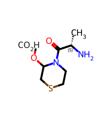 C[C@H](N)C(=O)N1CCSCC1OC(=O)O